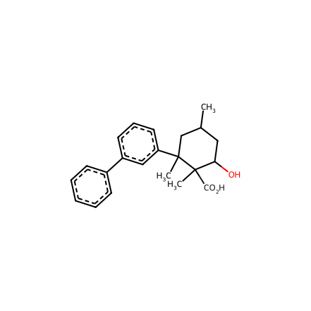 CC1CC(O)C(C)(C(=O)O)C(C)(c2cccc(-c3ccccc3)c2)C1